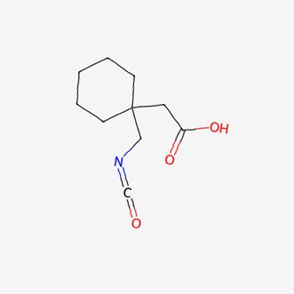 O=C=NCC1(CC(=O)O)CCCCC1